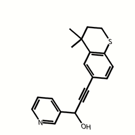 CC1(C)CCSc2ccc(C#CC(O)c3cccnc3)cc21